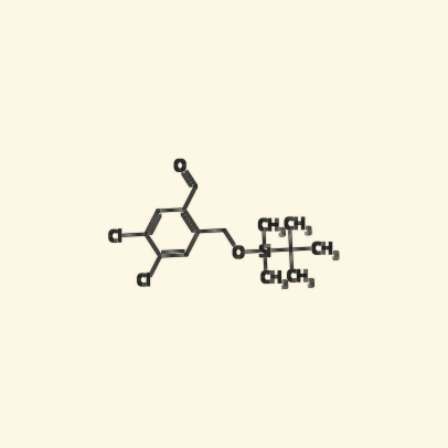 CC(C)(C)[Si](C)(C)OCc1cc(Cl)c(Cl)cc1C=O